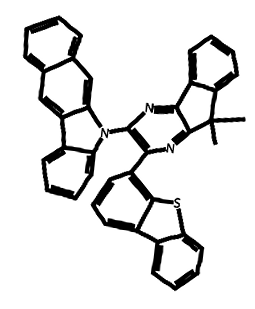 CC1(C)c2ccccc2-c2nc(-n3c4ccccc4c4cc5ccccc5cc43)c(-c3cccc4c3sc3ccccc34)nc21